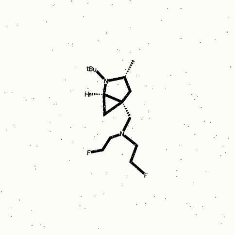 C[C@@H]1C[C@@]2(CN(CCF)CCF)C[C@H]2N1C(C)(C)C